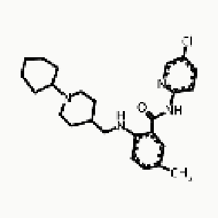 Cc1ccc(NCC2CCN(C3CCCCC3)CC2)c(C(=O)Nc2ccc(Cl)cn2)c1